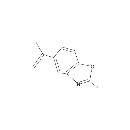 C=C(C)c1ccc2oc(C)nc2c1